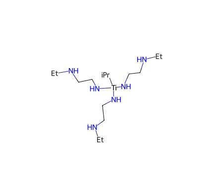 CCNCC[NH][Ti]([NH]CCNCC)([NH]CCNCC)[CH](C)C